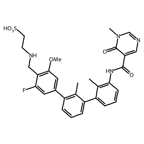 COc1cc(-c2cccc(-c3cccc(NC(=O)c4cncn(C)c4=O)c3C)c2C)cc(F)c1CNCCS(=O)(=O)O